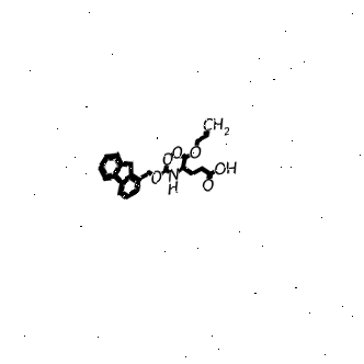 C=CCOC(=O)C(CCC(=O)O)NC(=O)OCc1cccc2c1Cc1ccccc1-2